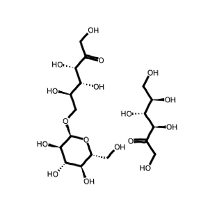 O=C(CO)[C@@H](O)[C@H](O)[C@H](O)CO[C@H]1O[C@H](CO)[C@@H](O)[C@H](O)[C@H]1O.O=C(CO)[C@H](O)[C@H](O)[C@H](O)CO